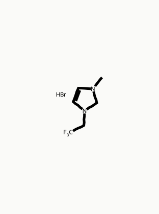 Br.CN1C=CN(CC(F)(F)F)C1